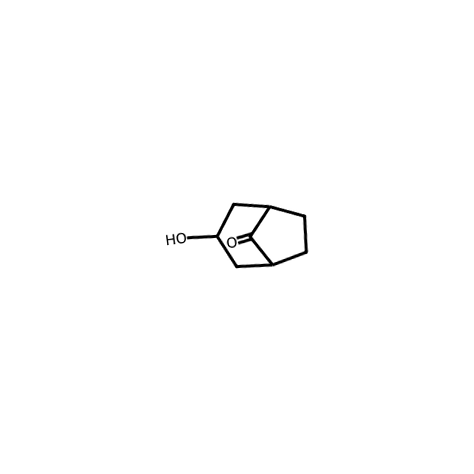 O=C1C2CCC1CC(O)C2